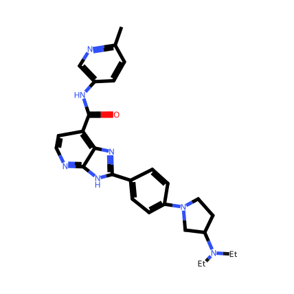 CCN(CC)C1CCN(c2ccc(-c3nc4c(C(=O)Nc5ccc(C)nc5)ccnc4[nH]3)cc2)C1